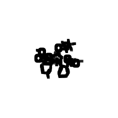 COS(=O)(=O)c1ccc(C)cc1[C@H]1C[C@@H](O[Si](C)(C)C(C)(C)C)CN1c1ccccc1[N+](=O)[O-]